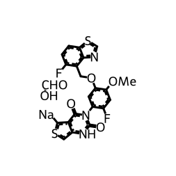 COc1cc(F)c(-n2c(=O)[nH]c3cs[c]([Na])c3c2=O)cc1OCc1c(F)ccc2scnc12.O=CO